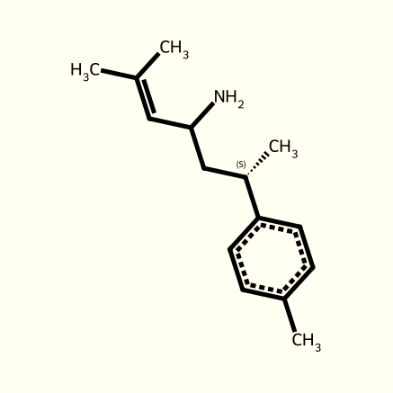 CC(C)=CC(N)C[C@H](C)c1ccc(C)cc1